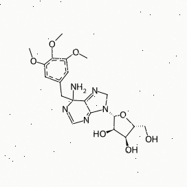 COc1cc(CC2(N)N=CN=C3C2=NCN3[C@@H]2O[C@H](CO)[C@@H](O)[C@H]2O)cc(OC)c1OC